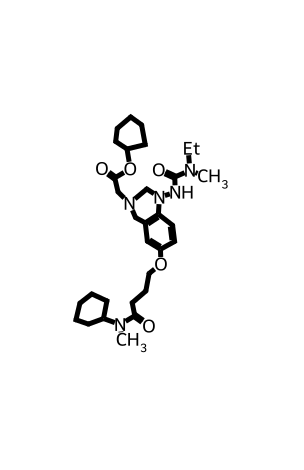 CCN(C)C(=O)NN1CN(CC(=O)OC2CCCCC2)Cc2cc(OCCCC(=O)N(C)C3CCCCC3)ccc21